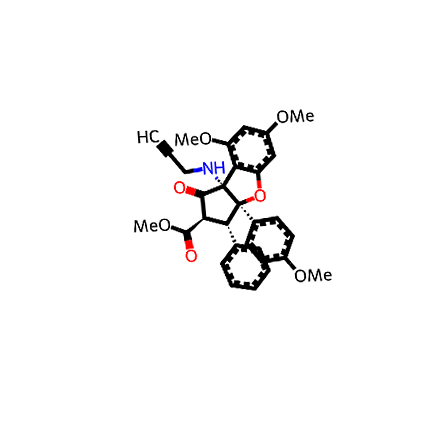 C#CCN[C@@]12C(=O)[C@H](C(=O)OC)[C@@H](c3ccccc3)[C@]1(c1ccc(OC)cc1)Oc1cc(OC)cc(OC)c12